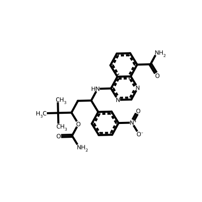 CC(C)(C)C(CC(Nc1ncnc2c(C(N)=O)cccc12)c1cccc([N+](=O)[O-])c1)OC(N)=O